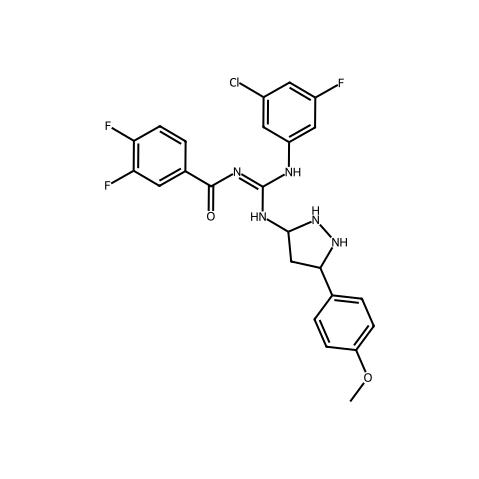 COc1ccc(C2CC(N/C(=N\C(=O)c3ccc(F)c(F)c3)Nc3cc(F)cc(Cl)c3)NN2)cc1